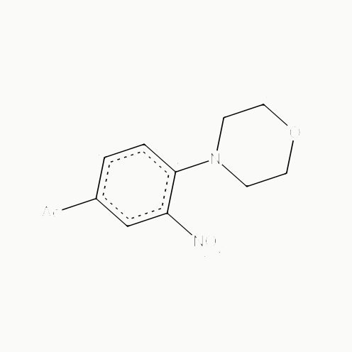 CC(=O)c1ccc(N2CCOCC2)c([N+](=O)[O-])c1